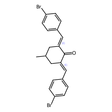 CC1C/C(=C\c2ccc(Br)cc2)C(=O)/C(=C/c2ccc(Br)cc2)C1